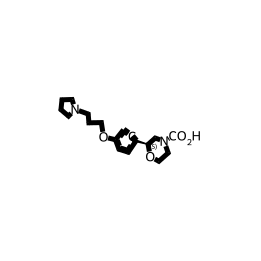 O=C(O)N1CCO[C@@H](c2ccc(OCCCN3CCCC3)cc2)C1